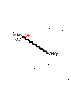 CCCCCCC(C(O)CCCCCCCCCCC/C=C/[C]=O)[N+](=O)[O-]